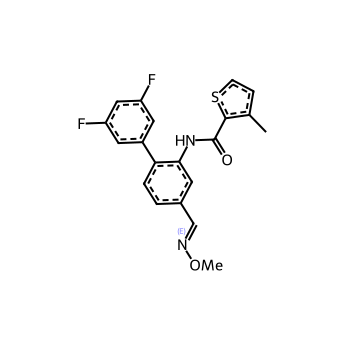 CO/N=C/c1ccc(-c2cc(F)cc(F)c2)c(NC(=O)c2sccc2C)c1